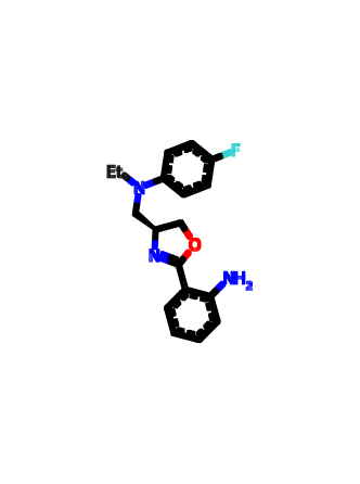 CCN(C[C@H]1COC(c2ccccc2N)=N1)c1ccc(F)cc1